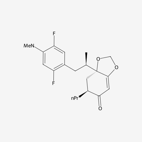 CCC[C@H]1C[C@]2([C@H](C)Cc3cc(F)c(NC)cc3F)OCOC2=CC1=O